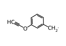 C#COc1cccc([CH2])c1